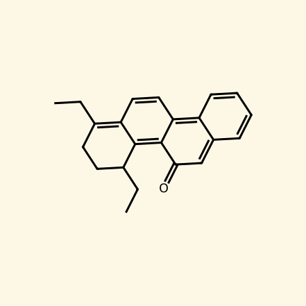 CCC1=c2ccc3c(c2C(CC)CC1)C(=O)C=c1ccccc1=3